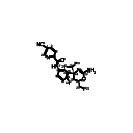 N#Cc1ccc(C(=O)Nc2ccc(F)c([C@]3(C(F)F)C[C@H](CF)OC(N)=N3)c2)nc1